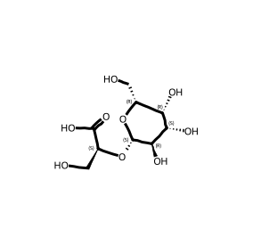 O=C(O)[C@H](CO)O[C@@H]1O[C@H](CO)[C@H](O)[C@H](O)[C@H]1O